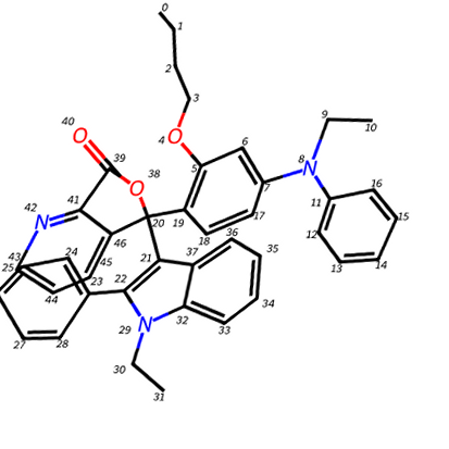 CCCCOc1cc(N(CC)c2ccccc2)ccc1C1(c2c(-c3ccccc3)n(CC)c3ccccc23)OC(=O)c2ncccc21